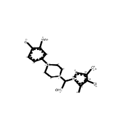 CSc1cc(N2CCN(C(C=O)n3nc(C(F)(F)F)c(Cl)c3C)CC2)ccc1Cl